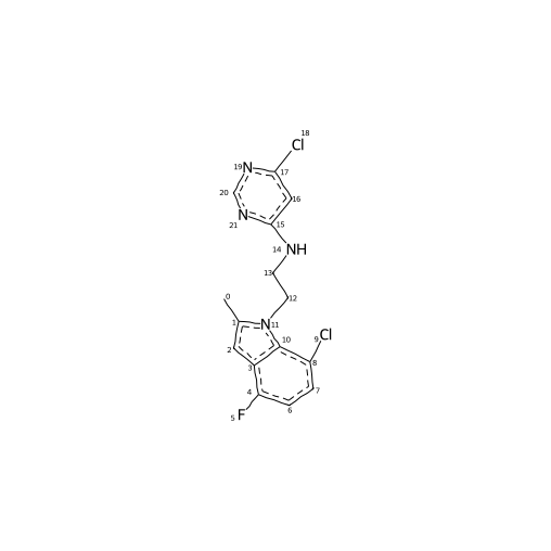 Cc1cc2c(F)ccc(Cl)c2n1CCNc1cc(Cl)ncn1